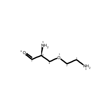 NCCOC[C@H](N)[C]=O